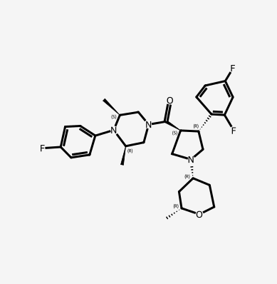 C[C@@H]1C[C@H](N2C[C@@H](C(=O)N3C[C@@H](C)N(c4ccc(F)cc4)[C@@H](C)C3)[C@H](c3ccc(F)cc3F)C2)CCO1